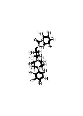 [2H]c1c([2H])c(Cl)c([2H])c(N2C([2H])([2H])C([2H])([2H])N(C([2H])([2H])C([2H])([2H])Cn3nc4c([2H])c([2H])c([2H])c([2H])n4c3=O)C([2H])([2H])C2([2H])[2H])c1[2H]